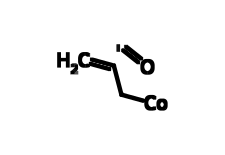 C=C[CH2][Co].[C]=O